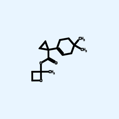 CC1(C)CC=C(C2(C(=O)OC3(C)CCO3)CC2)CC1